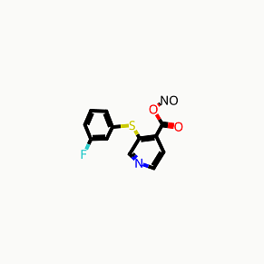 O=NOC(=O)c1ccncc1Sc1cccc(F)c1